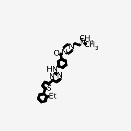 CCc1ccccc1-c1ccc(-c2ccnc(Nc3cccc(C(=O)N4CCN(CCN(C)C)CC4)c3)n2)s1